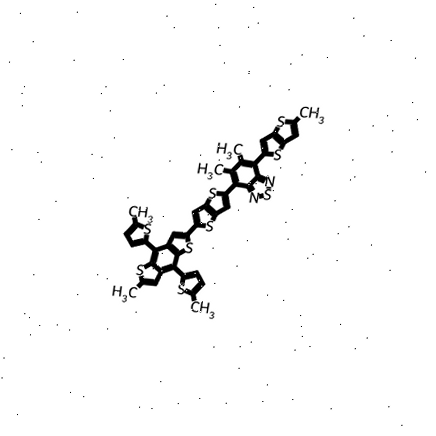 Cc1ccc(-c2c3cc(-c4cc5sc(-c6c(C)c(C)c(-c7cc8sc(C)cc8s7)c7nsnc67)cc5s4)sc3c(-c3ccc(C)s3)c3cc(C)sc23)s1